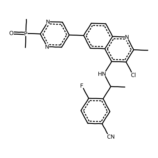 Cc1nc2ccc(-c3cnc(P(C)(C)=O)nc3)cc2c(NC(C)c2cc(C#N)ccc2F)c1Cl